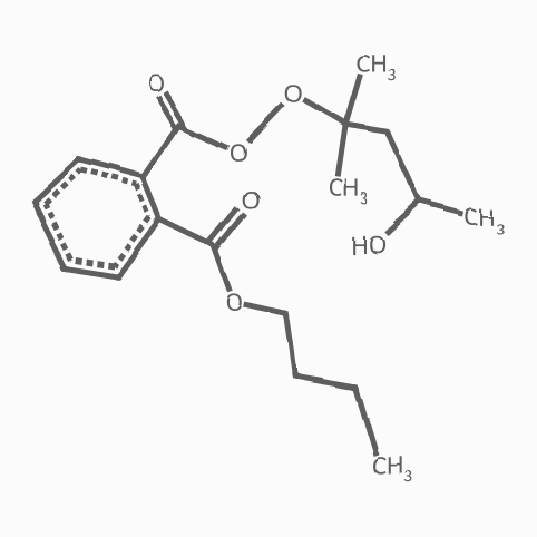 CCCCOC(=O)c1ccccc1C(=O)OOC(C)(C)CC(C)O